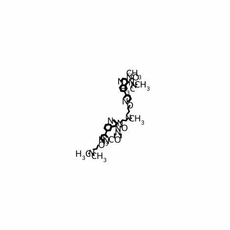 CC1CN(n2c(=O)n(CCN(C)CCCOc3ccc(-c4ccc5ncc6c(c5c4)n(N(C)C)c(=O)n6C)cn3)c3cnc4ccc(-c5ccc(OCCCN(C)C)nc5)cc4c32)CCO1